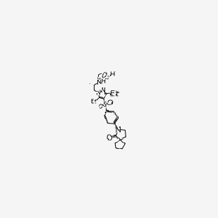 CCc1nn(C[C@H](C)NC(=O)O)c(CC)c1S(=O)(=O)c1ccc(N2CCC3(CCCC3)C2=O)cc1